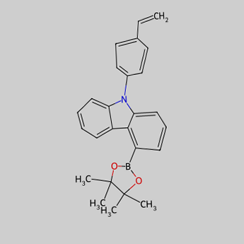 C=Cc1ccc(-n2c3ccccc3c3c(B4OC(C)(C)C(C)(C)O4)cccc32)cc1